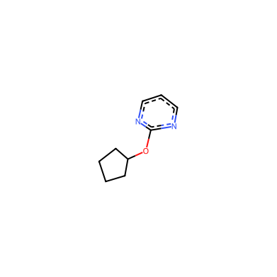 c1cnc(OC2CCCC2)nc1